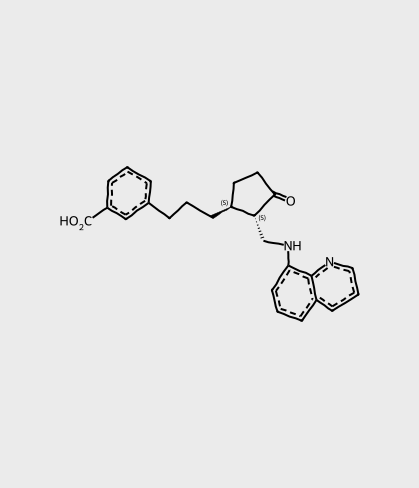 O=C(O)c1cccc(CCC[C@H]2CCC(=O)[C@@H]2CNc2cccc3cccnc23)c1